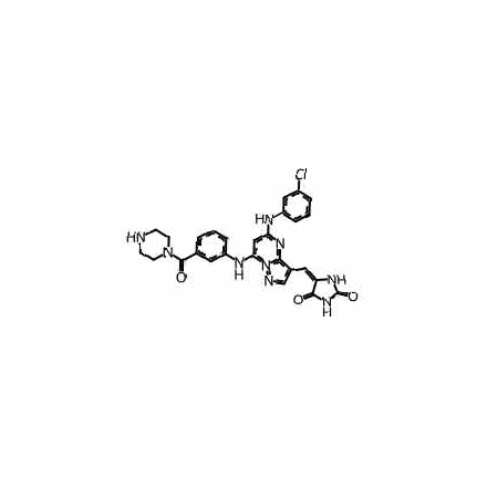 O=C1NC(=O)/C(=C\c2cnn3c(Nc4cccc(C(=O)N5CCNCC5)c4)cc(Nc4cccc(Cl)c4)nc23)N1